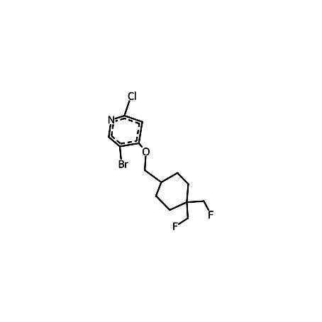 FCC1(CF)CCC(COc2cc(Cl)ncc2Br)CC1